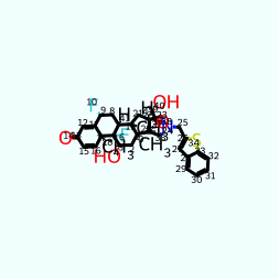 C[C@]12C[C@H](O)[C@@]3(F)[C@@H](C[C@H](F)C4=CC(=O)C=C[C@@]43C)[C@]1(C)C[C@H]1CN(Cc3cc4ccccc4s3)C[C@]12C(=O)CO